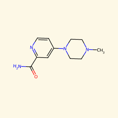 CN1CCN(c2ccnc(C(N)=O)c2)CC1